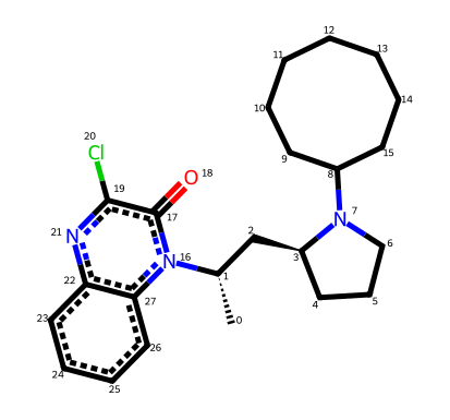 C[C@@H](C[C@@H]1CCCN1C1CCCCCCC1)n1c(=O)c(Cl)nc2ccccc21